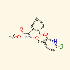 CO/C=C(/C(=O)OC)c1ccccc1COc1cccc(Cl)n1